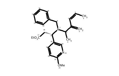 C=C(/C=C\C)C(C)N(Cc1ccccc1)[C@@H](CC(=O)OCC)c1ccc(OC)nc1